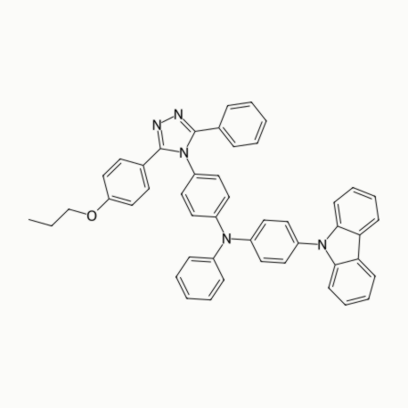 CCCOc1ccc(-c2nnc(-c3ccccc3)n2-c2ccc(N(c3ccccc3)c3ccc(-n4c5ccccc5c5ccccc54)cc3)cc2)cc1